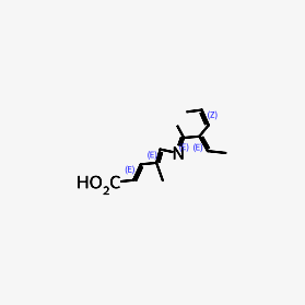 C\C=C/C(=C\C)C(/C)=N/C=C(C)/C=C/C(=O)O